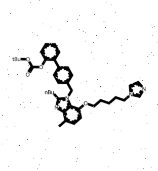 CCCCc1nc2c(C)ccc(OCCCCCn3ccnc3)c2n1Cc1ccc(-c2ccccc2OC(=O)OC(C)(C)C)cc1